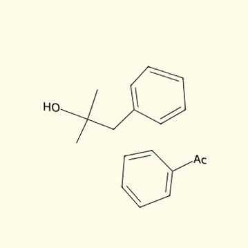 CC(=O)c1ccccc1.CC(C)(O)Cc1ccccc1